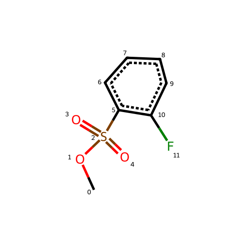 COS(=O)(=O)c1ccccc1F